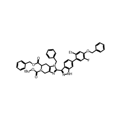 CCc1cc(OCc2ccccc2)c(F)cc1-c1ccc2c(-c3nc4c(n3Cc3ccccc3)CC(C(=O)OCc3ccccc3)N(C(=O)OC(C)(C)C)C4)n[nH]c2c1